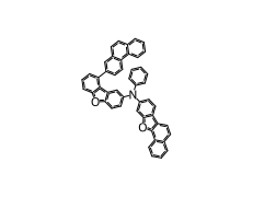 c1ccc(N(c2ccc3c(c2)oc2c4ccccc4ccc32)c2ccc3oc4cccc(-c5ccc6c(ccc7ccccc76)c5)c4c3c2)cc1